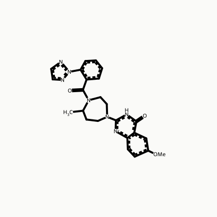 COc1ccc2nc(N3CCC(C)N(C(=O)c4ccccc4-n4nccn4)CC3)[nH]c(=O)c2c1